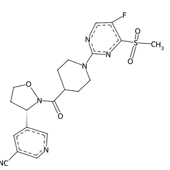 CS(=O)(=O)c1nc(N2CCC(C(=O)N3OCC[C@H]3c3cncc(C#N)c3)CC2)ncc1F